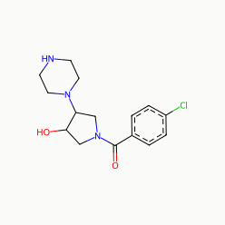 O=C(c1ccc(Cl)cc1)N1CC(O)C(N2CCNCC2)C1